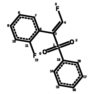 O=S(=O)(/C(=C/F)c1ccccc1F)c1ccccc1